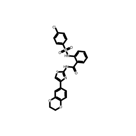 O=C(Nc1nc(-c2ccc3c(c2)OCCO3)cs1)c1ccccc1NS(=O)(=O)c1ccc(Cl)cc1